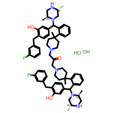 C[C@@H]1CN(C(c2ccc(Cc3cccc(F)c3)c(O)c2)c2ccccc2C2(C)CCN(CC(=O)CN3CCC(C)(c4ccccc4C(c4ccc(Cc5cccc(F)c5)c(O)c4)N4C[C@@H](C)NC[C@@H]4C)CC3)CC2)[C@@H](C)CN1.Cl.Cl